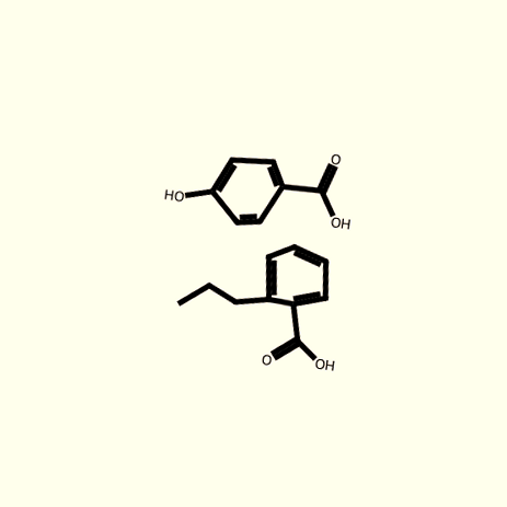 CCCc1ccccc1C(=O)O.O=C(O)c1ccc(O)cc1